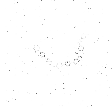 O=C1CCC(c2ccc(N3CC4(CN(CC5CCN(c6ccc(-c7cnc8[nH]cc(C(=O)c9c(F)ccc(NS(=O)(=O)N%10CC[C@@H](F)C%10)c9F)c8c7)cc6)CC5)C4)C3)cc2)C(=O)N1